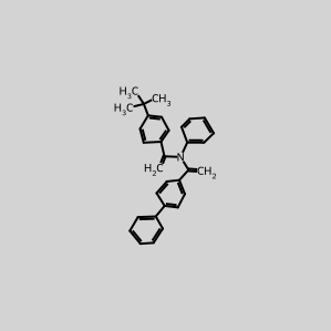 C=C(c1ccc(-c2ccccc2)cc1)N(C(=C)c1ccc(C(C)(C)C)cc1)c1ccccc1